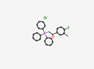 Cc1cc(C(=O)C[P+](c2ccccc2)(c2ccccc2)c2ccccc2)ccc1F.[Br-]